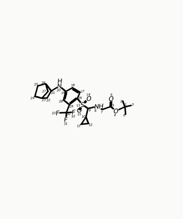 CC(C)(C)OC(=O)CNC(C1CC1)S(=O)(=O)c1ccc(NC2CC3CCC2C3)cc1C(F)(F)F